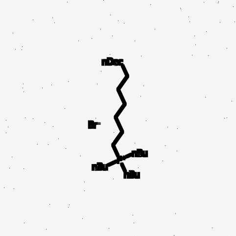 CCCCCCCCCCCCCCCC[P+](CCCC)(CCCC)CCCC.[Br-]